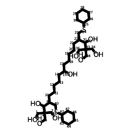 OCC(CO)(CO)C(O)C(CCCCCC(O)CCCCCC(CSC1CCCCC1)C(O)C(CO)(CO)CO)CSC1CCCCC1